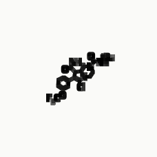 CC(C)(C)NC(=O)N1CCN2C(Cl)=C(c3cccc(OC(F)(F)F)c3)C(C(N)=O)C2C1